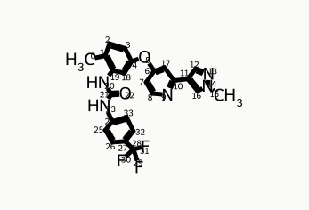 Cc1ccc(Oc2ccnc(-c3cnn(C)c3)c2)cc1NC(=O)Nc1ccc(C(F)(F)F)cc1